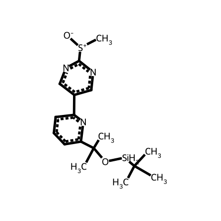 C[S+]([O-])c1ncc(-c2cccc(C(C)(C)O[SiH2]C(C)(C)C)n2)cn1